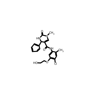 Cc1cc(Cl)c(OCCO)cc1NC(=O)C1=CN(C)C(=O)NC1c1ccccc1